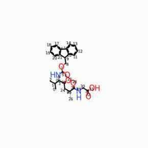 CC(C)[C@H](NC(=O)OCC1c2ccccc2-c2ccccc21)C(=O)C[C@@H](C)C(=O)NCC(=O)O